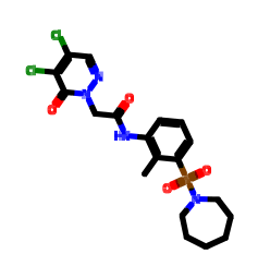 Cc1c(NC(=O)Cn2ncc(Cl)c(Cl)c2=O)cccc1S(=O)(=O)N1CCCCCC1